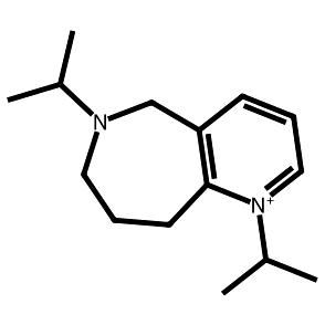 CC(C)N1CCCc2c(ccc[n+]2C(C)C)C1